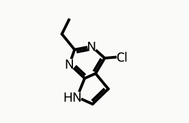 CCc1nc(Cl)c2cc[nH]c2n1